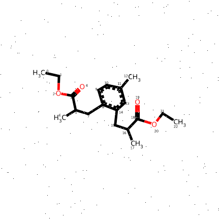 CCOC(=O)C(C)Cc1ccc(C)cc1CC(C)C(=O)OCC